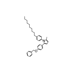 CCCCCCCCCCc1ccc(-n2c(C)ccc2-c2ccc(OCc3ccccc3)cc2)cc1